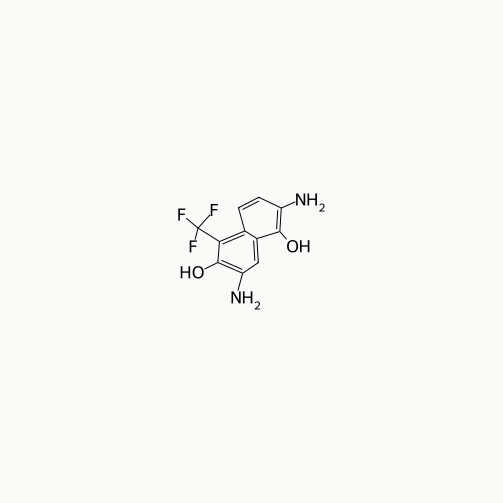 Nc1cc2c(O)c(N)ccc2c(C(F)(F)F)c1O